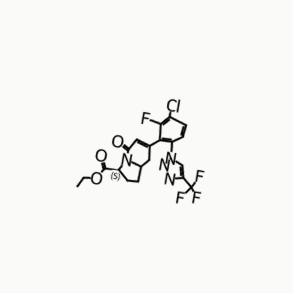 CCOC(=O)[C@@H]1CCC2CC(c3c(-n4cc(C(F)(F)F)nn4)ccc(Cl)c3F)=CC(=O)N21